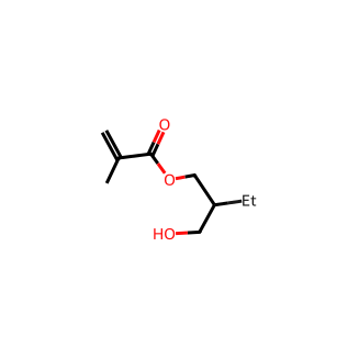 C=C(C)C(=O)OCC(CC)CO